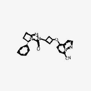 N#Cc1ccc(OC2CC(n3nc4n(c3=O)[C@H](c3ccccc3)CC4)C2)c2ccnn12